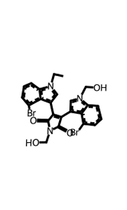 CCn1cc(C2=C(c3cn(CO)c4cccc(Br)c34)C(=O)N(CO)C2=O)c2c(Br)cccc21